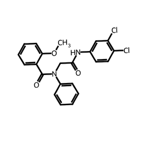 COc1ccccc1C(=O)N(CC(=O)Nc1ccc(Cl)c(Cl)c1)c1ccccc1